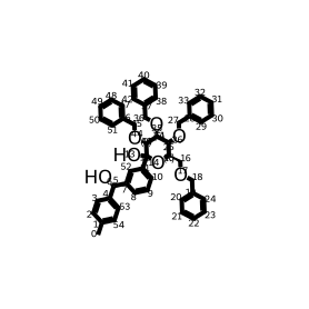 Cc1ccc(C(O)c2cccc(C3(O)O[C@H](COCc4ccccc4)C(OCc4ccccc4)[C@H](OCc4ccccc4)[C@H]3OCc3ccccc3)c2)cc1